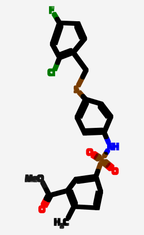 COC(=O)c1cc(S(=O)(=O)Nc2ccc(SCc3ccc(F)cc3Cl)cc2)ccc1C